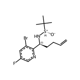 C=CCC[C@H](N[S@@+]([O-])C(C)(C)C)c1ncc(F)cc1Br